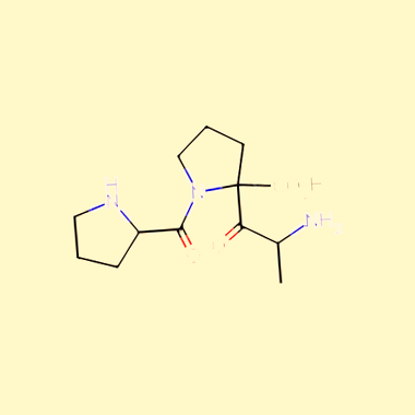 CC(N)C(=O)C1(C(=O)O)CCCN1C(=O)C1CCCN1